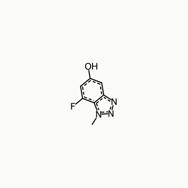 Cn1nnc2cc(O)cc(F)c21